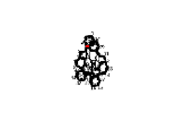 c1ccc(-c2cc3ccc4cc(-c5ccccc5)n5c4c3n2[Si]52n3c(-c4ccccc4)cc4ccc5cc(-c6ccccc6)n2c5c43)cc1